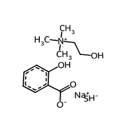 C[N+](C)(C)CCO.O=C([O-])c1ccccc1O.[Na+].[SH-]